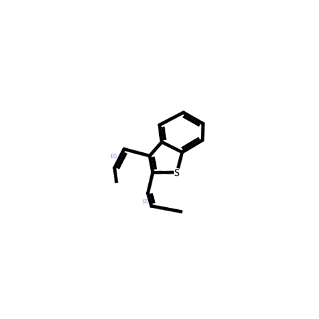 C/C=C\c1sc2ccccc2c1/C=C\C